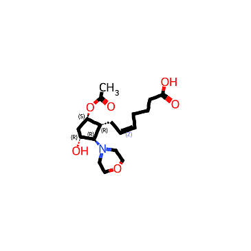 CC(=O)O[C@H]1C[C@@H](O)[C@H](N2CCOCC2)[C@H]1C/C=C\CCCC(=O)O